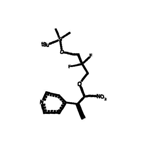 C=C(c1ccncc1)C(OCC(F)(F)CO[Si](C)(C)C(C)(C)C)[N+](=O)[O-]